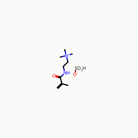 C=C(C)C(=O)NCC[N+](C)(C)C.O=S(=O)([O-])O